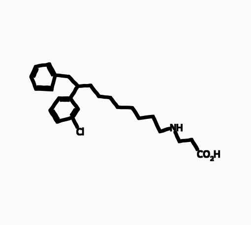 O=C(O)CCNCCCCCCCCC(Cc1ccccc1)c1cccc(Cl)c1